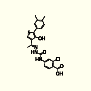 C/C(=N\NC(=O)Nc1ccc(C(=O)O)c(Cl)c1)c1csc(-c2ccc(C)c(C)c2)c1O